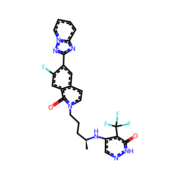 C[C@@H](CCCn1ccc2cc(-c3nc4ccccn4n3)c(F)cc2c1=O)Nc1cn[nH]c(=O)c1C(F)(F)F